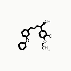 C#CC(CCCc1cccc(Oc2ccccc2)c1)c1ccc(OCC)c(Cl)c1